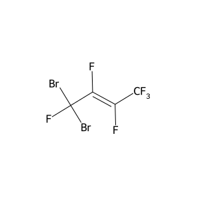 FC(=C(F)C(F)(Br)Br)C(F)(F)F